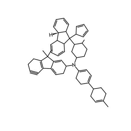 CC1=CCC(C2=CC=C(N(C3C=C4C(=CC3)C3=C(CCC#C3)C4(C)C)C3CCC(C)C(C4(C5C=CC=C5)C5C=CC=CC5[C@@H]5C=CC=CC54)C3)CC2)CC1